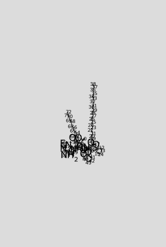 C#C[C@]1(COP(=O)(N[C@@H](Cc2ccccc2)C(=O)OCCCCCCCCCCCCCCCCCCCC)Oc2ccccc2)O[C@@H](n2cnc3c(N)nc(F)nc32)C[C@@H]1OC(=O)CCCCCCCCC